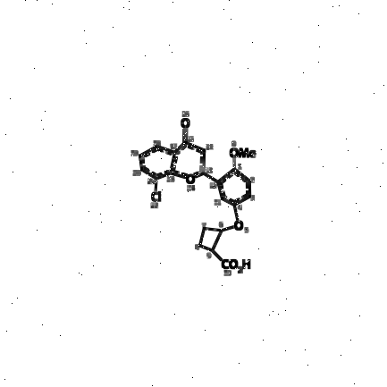 COc1ccc(OC2CCC2C(=O)O)cc1-c1cc(=O)c2cccc(Cl)c2o1